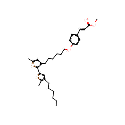 CCCCCCc1cc(-c2sc(C)cc2CCCCCCOc2ccc(/C=C/C(=O)OC)cc2)sc1C